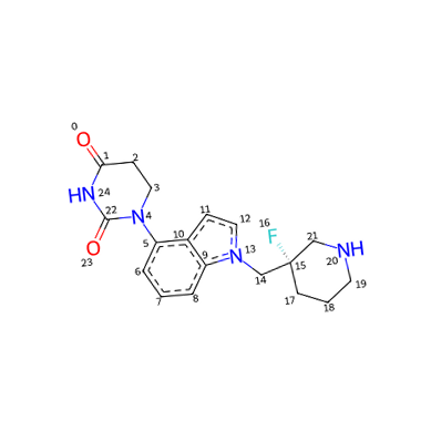 O=C1CCN(c2cccc3c2ccn3C[C@]2(F)CCCNC2)C(=O)N1